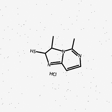 CC1=NC=CC2=NC(S)C(C)N12.Cl